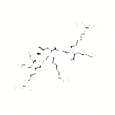 N=C(N)NCCCCC(=O)N(CCNC(=O)C(Cc1cnc[nH]1)N(CCNC(=O)C(CCCNC(=N)N)N(CCN)C(=O)CCS)C(=O)CCCCCN)C(CCCCN)C(N)=O